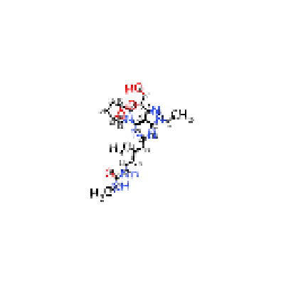 CCn1nc(C(O)CO)c2c(N3CC4CCC(C3)O4)nc(C/C(C)=C/CNC(=O)NC)nc21